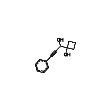 OC(C#Cc1ccccc1)C1(O)CCC1